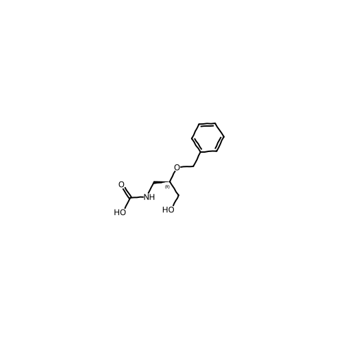 O=C(O)NC[C@H](CO)OCc1ccccc1